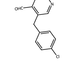 O=Cc1ccncc1Cc1ccc(Cl)cc1